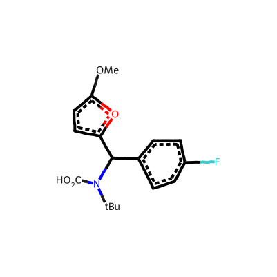 COc1ccc(C(c2ccc(F)cc2)N(C(=O)O)C(C)(C)C)o1